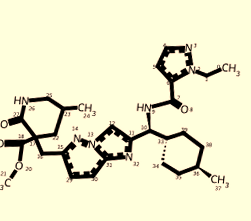 CCn1nccc1C(=O)N[C@H](c1cn2nc(CC3(C(=O)OC)CC(C)CNC3=O)ccc2n1)[C@H]1CC[C@H](C)CC1